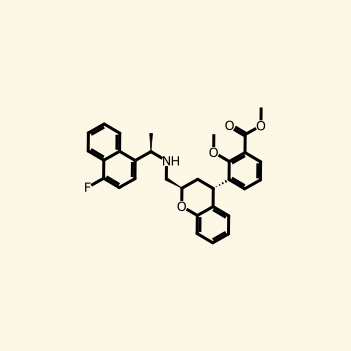 COC(=O)c1cccc([C@H]2C[C@H](CN[C@H](C)c3ccc(F)c4ccccc34)Oc3ccccc32)c1OC